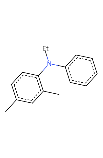 CCN(c1ccccc1)c1ccc(C)cc1C